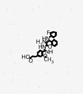 COc1cc(CCC(=O)O)ccc1C(=N)NC(=O)/C(N)=C(/Nc1ccccc1F)c1ccccc1